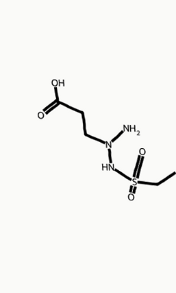 CCS(=O)(=O)NN(N)CCC(=O)O